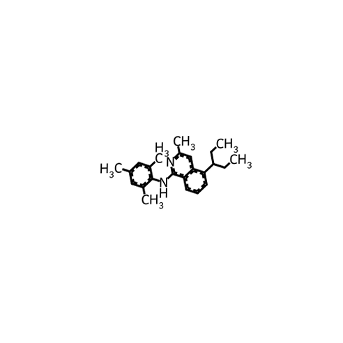 CCC(CC)c1cccc2c(Nc3c(C)cc(C)cc3C)nc(C)cc12